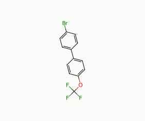 FC(F)(F)Oc1ccc(-c2c[c]c(Br)cc2)cc1